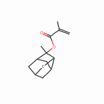 C=C(C)C(=O)OC1(C)C2CC3CC(C2)C1C3